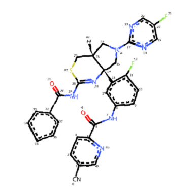 N#Cc1ccc(C(=O)Nc2ccc(F)c([C@]34CN(c5ncc(F)cn5)C[C@H]3CSC(NC(=O)c3ccccc3)=N4)c2)nc1